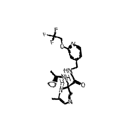 CC(=O)NC1(C(=O)NCc2ccnc(OCC(F)(F)F)c2)C=NC=C(C)N1